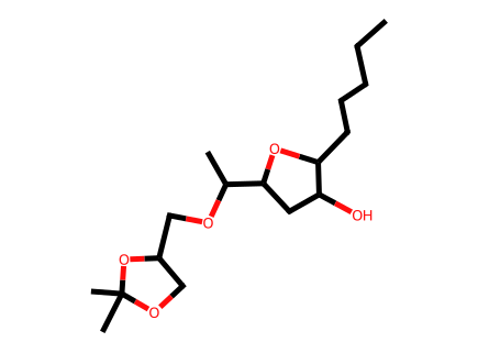 CCCCCC1OC(C(C)OCC2COC(C)(C)O2)CC1O